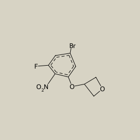 O=[N+]([O-])c1c(F)cc(Br)cc1OC1COC1